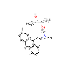 COc1ccc(C)cc1C(CCN(C(C)C)C(C)C)c1ccccc1.O=C(O)C(O)C(O)C(=O)O